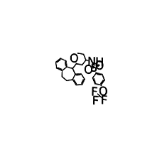 O=S(=O)(NC1CCOC(C2c3ccccc3CCc3ccccc32)C1)c1ccc(OC(F)(F)F)cc1